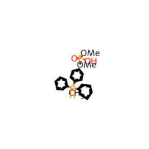 COP(=O)(O)OC.C[PH](c1ccccc1)(c1ccccc1)c1ccccc1